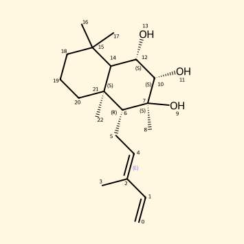 C=C/C(C)=C/C[C@H]1[C@](C)(O)[C@@H](O)[C@@H](O)C2C(C)(C)CCC[C@@]21C